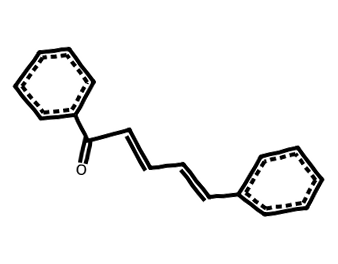 O=C(C=CC=Cc1ccccc1)c1ccccc1